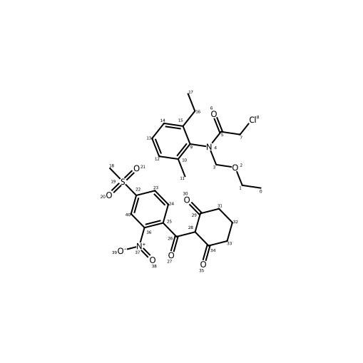 CCOCN(C(=O)CCl)c1c(C)cccc1CC.CS(=O)(=O)c1ccc(C(=O)C2C(=O)CCCC2=O)c([N+](=O)[O-])c1